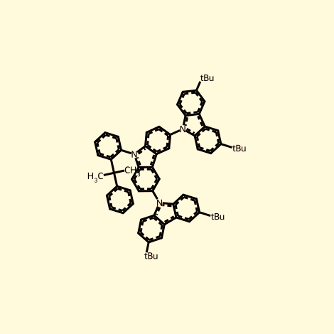 CC(C)(C)c1ccc2c(c1)c1cc(C(C)(C)C)ccc1n2-c1ccc2c(c1)c1cc(-n3c4ccc(C(C)(C)C)cc4c4cc(C(C)(C)C)ccc43)ccc1n2-c1ccccc1C(C)(C)c1ccccc1